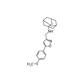 CSc1ccc(-c2cc(CNC34CC5CC(CC(C5)C3)C4)no2)cc1